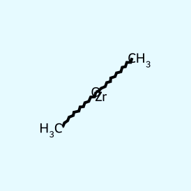 CCCCCCCCCCCCCCOCCCCCCCCCCCCCC.[Zr]